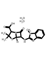 Cn1c(NC2C(=O)N3C(C(=O)O)C(C)(C)S[C@@H]23)nc2ccccc21.O.O